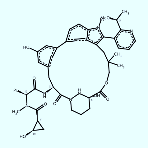 CCn1c(-c2cccnc2[C@H](C)OC)c2c3cc(ccc31)-c1cc(O)cc(c1)C[C@H](NC(=O)[C@H](C(C)C)N(C)C(=O)[C@H]1C[C@H]1O)C(=O)N1CCC[C@@](O)(N1)C(=O)OCC(C)(C)C2